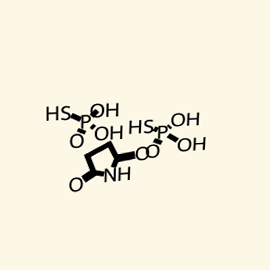 O=C1CCC(=O)N1.O=P(O)(O)S.O=P(O)(O)S